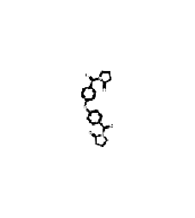 O=C1CCCN1C(=O)c1ccc(Oc2ccc(C(=O)N3CCCC3=O)cc2)cc1